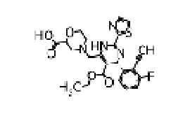 C#Cc1c(F)cccc1[C@H]1N=C(c2nccs2)NC(CN2CCO[C@H](C(=O)O)C2)=C1C(=O)OCC